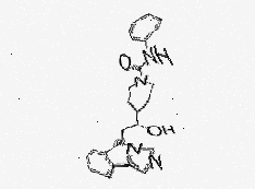 O=C(Nc1ccccc1)N1CCC(C(O)C[C@@H]2c3ccccc3-c3cncn32)CC1